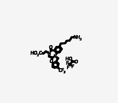 NCCCCCc1ccc2c(c1)C(=O)N(CCC(=O)O)CC(=O)N2Cc1cccc(C(F)(F)F)c1.O=C(O)C(F)(F)F